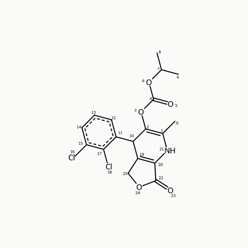 CC1=C(OC(=O)OC(C)C)C(c2cccc(Cl)c2Cl)C2=C(N1)C(=O)OC2